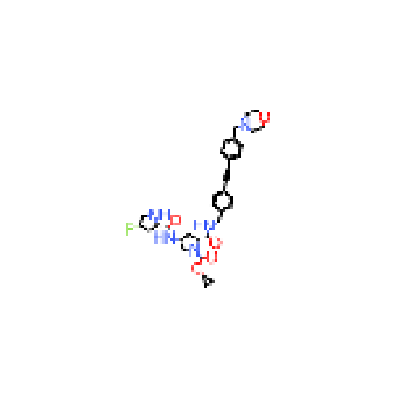 O=C(N[C@@H]1C[C@H](C(=O)NCc2ccc(C#Cc3ccc(CN4CCOCC4)cc3)cc2)N(C(=O)OC2CC2)C1)[C@@H]1C[C@H](F)CN1